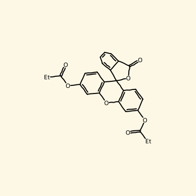 CCC(=O)Oc1ccc2c(c1)Oc1cc(OC(=O)CC)ccc1C21OC(=O)c2ccccc21